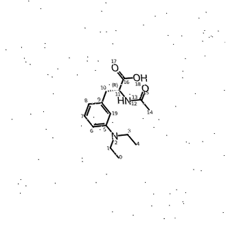 CCN(CC)c1cccc(C[C@@H](NC(C)=O)C(=O)O)c1